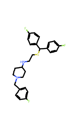 Fc1ccc(CN2CCC(NCCSC(c3ccc(F)cc3)c3ccc(F)cc3)CC2)cc1